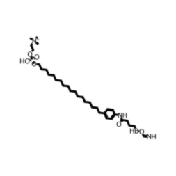 C[N+](C)(C)CCOP(=O)(O)OCCCCCCCCCCCCCCCCCCc1ccc(NC(=O)CCCBOC=N)cc1